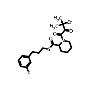 CCC(C)(C)C(=O)C(=O)N1CCCCC1C(=O)SCCCc1cccc(F)c1